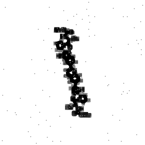 CC[C@H](C)[C@H](NC(=O)OC)C(=O)N1CCC[C@H]1c1ncc(-c2ccc3nc(-c4ccc5nc([C@@H]6CCCN6C(=O)[C@@H](NC(=O)OC)[C@@H](C)CC)[nH]c5c4)ccc3c2)[nH]1